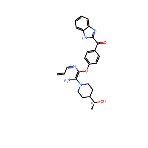 C=C/C=N\C(Oc1ccc(C(=O)c2nc3ccccc3[nH]2)cc1)=C(/N)N1CCC([C@H](C)O)CC1